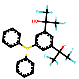 OC(c1cc([SH](c2ccccc2)c2ccccc2)cc(C(O)(C(F)(F)F)C(F)(F)F)c1)(C(F)(F)F)C(F)(F)F